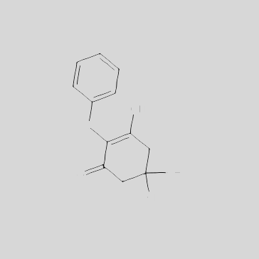 CC1(C)CC(=O)C([I]c2ccccc2)=C(O)C1